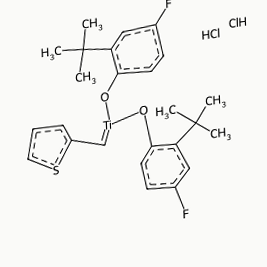 CC(C)(C)c1cc(F)ccc1[O][Ti](=[CH]c1cccs1)[O]c1ccc(F)cc1C(C)(C)C.Cl.Cl